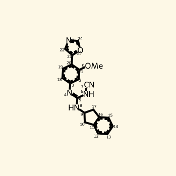 COc1cc(/N=C(\NC#N)NC2Cc3ccccc3C2)ccc1-c1cnco1